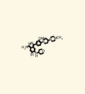 CCc1cc2c(N)nnc(-c3ccc(N4CCC(N5CCN(C)CC5)CC4)c(OC)c3)c2cc1NC1CCOCC1